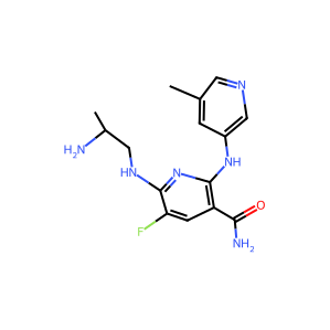 Cc1cncc(Nc2nc(NCC(C)N)c(F)cc2C(N)=O)c1